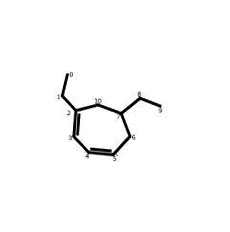 CCC1=CC=[C]CC(CC)C1